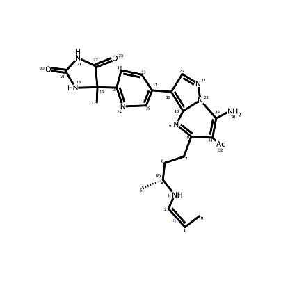 C/C=C\N[C@H](C)CCc1nc2c(-c3ccc(C4(C)NC(=O)NC4=O)nc3)cnn2c(N)c1C(C)=O